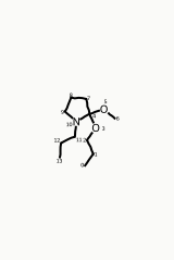 CCCOC1(OC)CCCN1CCC